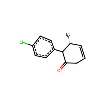 CC[C@@H]1C=CCC(=O)C1c1ccc(Cl)cc1